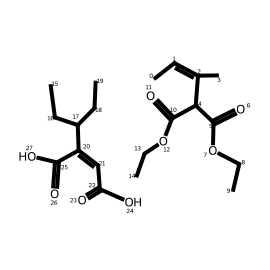 C/C=C(/C)C(C(=O)OCC)C(=O)OCC.CCC(CC)/C(=C/C(=O)O)C(=O)O